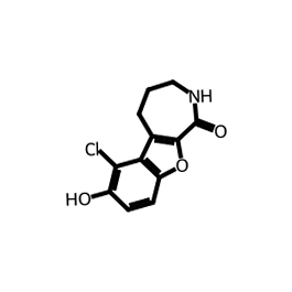 O=C1NCCCc2c1oc1ccc(O)c(Cl)c21